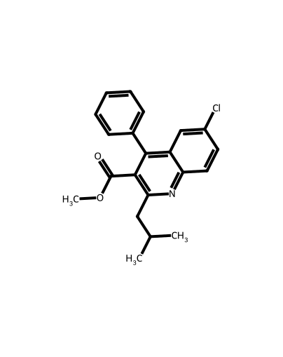 COC(=O)c1c(CC(C)C)nc2ccc(Cl)cc2c1-c1ccccc1